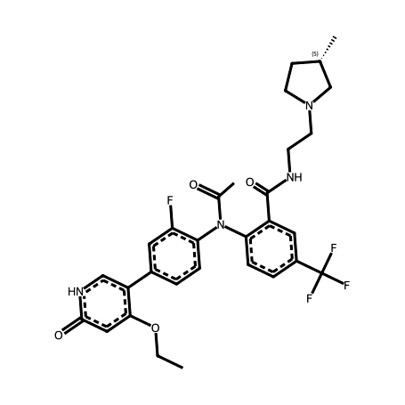 CCOc1cc(=O)[nH]cc1-c1ccc(N(C(C)=O)c2ccc(C(F)(F)F)cc2C(=O)NCCN2CC[C@H](C)C2)c(F)c1